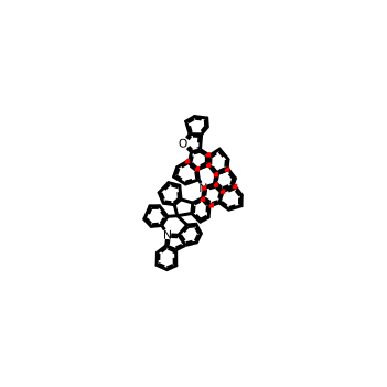 c1ccc(-c2cccc3ccccc23)c(-c2ccccc2N(c2ccccc2-c2ccc3oc4ccccc4c3c2)c2cccc3c2-c2ccccc2C32c3ccccc3-n3c4ccccc4c4cccc2c43)c1